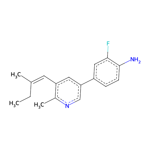 CC/C(C)=C\c1cc(-c2ccc(N)c(F)c2)cnc1C